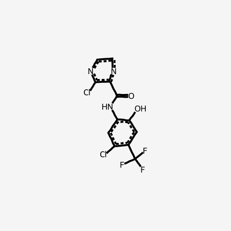 O=C(Nc1cc(Cl)c(C(F)(F)F)cc1O)c1nccnc1Cl